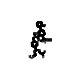 C=N/N=C(\OCC(F)F)c1ccc(CN(C)C(=O)c2cc(-c3ccccc3F)ccc2N(C)C=O)nc1